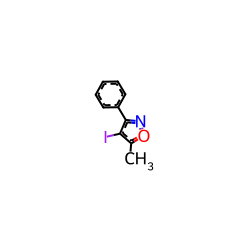 Cc1onc(-c2ccccc2)c1I